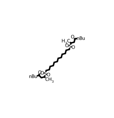 CCCCC(=O)CC(C)S(=O)(=O)CCCCCCCCCCCCS(=O)(=O)C(C)CC(=O)CCCC